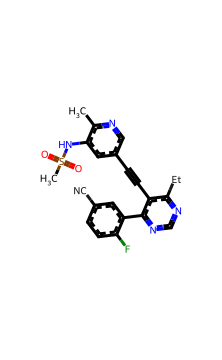 CCc1ncnc(-c2cc(C#N)ccc2F)c1C#Cc1cnc(C)c(NS(C)(=O)=O)c1